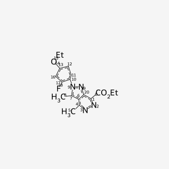 CCOC(=O)c1nnc(C)c2c(C)n(-c3ccc(OCC)cc3F)nc12